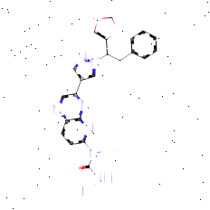 CCNC(=O)N(S)c1ccc2ncc(-c3cnn(C(Cc4ccccc4)C4=COCO4)c3)nc2n1